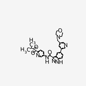 CC(C)S(=O)(=O)c1ccc(NC(=O)c2n[nH]c3ccc(-c4cncc(CN5CCOCC5)c4)cc23)cn1